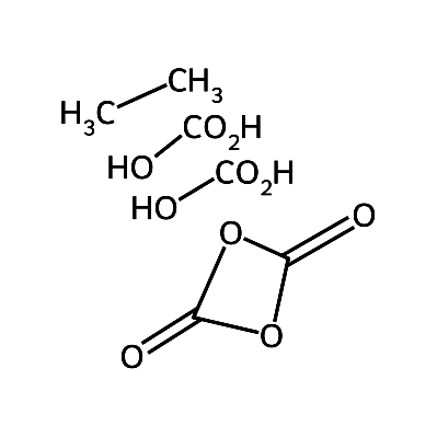 CC.O=C(O)O.O=C(O)O.O=C1OC(=O)O1